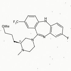 COCCC[C@H]1CN(C2=Nc3cc(F)ccc3Nc3ccc(C(F)(F)F)cc32)CCN1C